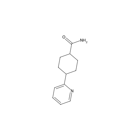 NC(=O)C1CCC(c2ccccn2)CC1